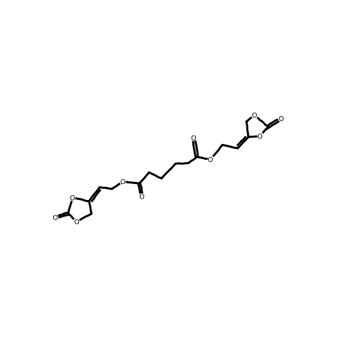 O=C(CCCCC(=O)OCC=C1COC(=O)O1)OCC=C1COC(=O)O1